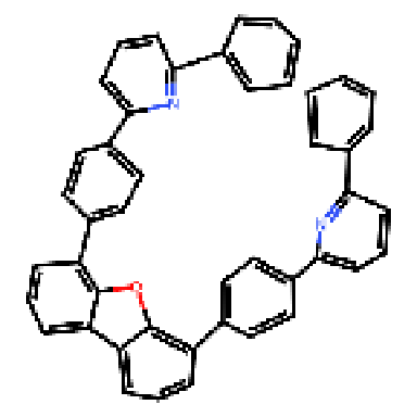 c1ccc(-c2cccc(-c3ccc(-c4cccc5c4oc4c(-c6ccc(-c7cccc(-c8ccccc8)n7)cc6)cccc45)cc3)n2)cc1